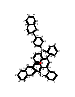 c1ccc2c(c1)Oc1cccc3cc(-c4ccccc4N(c4ccc(-c5ccc6ccccc6c5)cc4)c4ccc(-c5ccc6ccccc6c5)cc4)cc-2c13